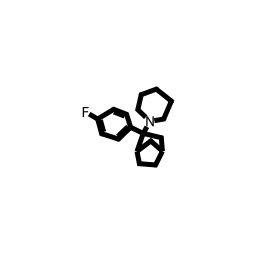 Fc1ccc(C2(N3CCCCC3)CC3CCC2C3)cc1